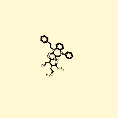 C=CC[C@H](C(N)=O)[C@@H](CC(C)C)C(=O)NC1CN(c2ccccc2)c2ccccc2N(CCc2ccccc2)C1=O